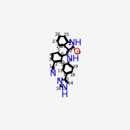 N#Cc1cccc(/C(Nc2ccc(-c3c[nH]cn3)cc2)=C2/C(=O)Nc3ccccc32)c1